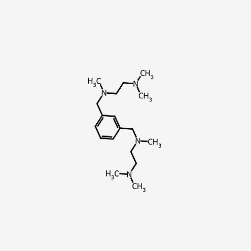 CN(C)CCN(C)Cc1cccc(CN(C)CCN(C)C)c1